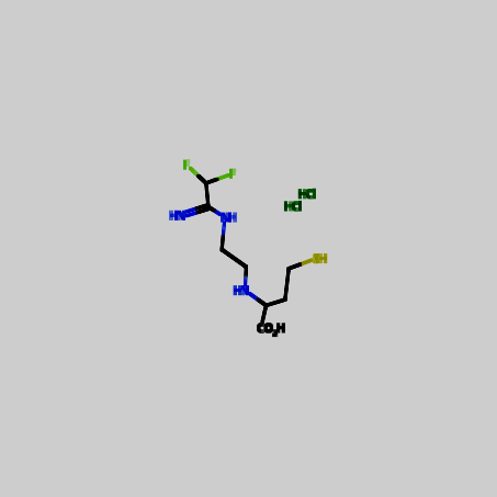 Cl.Cl.N=C(NCCNC(CCS)C(=O)O)C(F)F